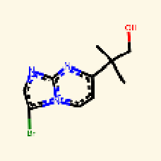 CC(C)(CO)c1ccn2c(Br)cnc2n1